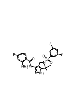 CC1(C)c2[nH]nc(NC(=O)c3ccc(F)cc3N)c2CN1S(=O)(=O)c1cc(F)cc(F)c1